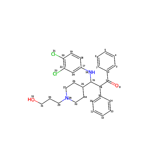 O=C(c1ccccc1)C(c1ccccc1)C(Nc1ccc(Cl)c(Cl)c1)C1CCN(CCCO)CC1